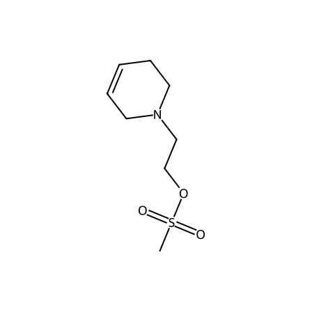 CS(=O)(=O)OCCN1CC=CCC1